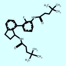 CC(C)(C)CCC(=O)Nc1cccc(-c2cccc3c2C(NC(=O)CCC(C)(C)C)CC3)c1F